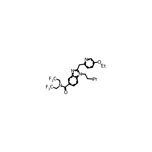 CCOc1ccc(Cc2nc3cc(C(=O)N(CC(F)(F)F)CC(F)(F)F)ccc3n2CCC(C)C)nc1